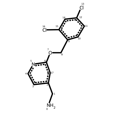 NCc1ccnc(OCc2ccc(Cl)cc2Cl)c1